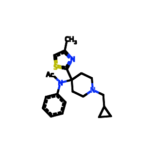 CC(=O)N(c1ccccc1)C1(c2nc(C)cs2)CCN(CC2CC2)CC1